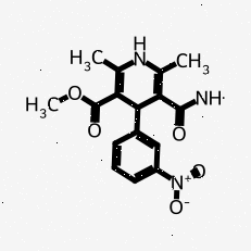 COC(=O)C1=C(C)NC(C)=C(C([NH])=O)C1c1cccc([N+](=O)[O-])c1